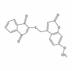 COc1ccc2c(CSC3=CC(=O)c4ccccc4C3=O)cc(=O)oc2c1